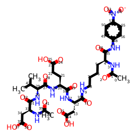 CC(=O)N[C@@H](CCCCNC(=O)[C@H](CC(=O)O)NC(=O)[C@H](CCC(=O)O)NC(=O)[C@@H](NC(=O)[C@H](CC(=O)O)NC(C)=O)C(C)C)C(=O)Nc1ccc([N+](=O)[O-])cc1